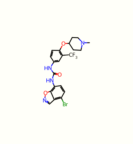 CN1CCC(Oc2ccc(NC(=O)Nc3ccc(Br)c4cnoc34)cc2C(F)(F)F)CC1